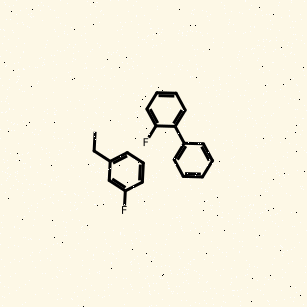 CCc1cccc(F)c1.Fc1ccccc1-c1ccccc1